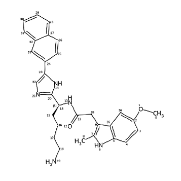 COc1ccc2[nH]c(C)c(CC(=O)N[C@@H](CCCCN)c3ncc(-c4ccc5ccccc5c4)[nH]3)c2c1